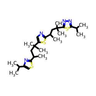 CC(C)c1csc(C(C)CC(C)(C)c2cnc(C(C)CC(C)(C)c3nnc(C(C)C)s3)s2)n1